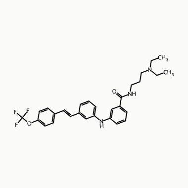 CCN(CC)CCCNC(=O)c1cccc(Nc2cccc(/C=C/c3ccc(OC(F)(F)F)cc3)c2)c1